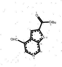 CC(C)COC(=O)c1cc2c(C=O)cncc2s1